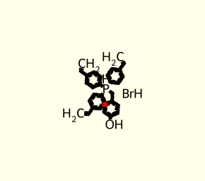 Br.C=Cc1ccc([PH](Cc2ccc(O)cc2)(c2ccc(C=C)cc2)c2ccc(C=C)cc2)cc1